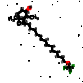 CC1=C(CCCCCCCCCCCCCCCOC(F)(F)F)C(C)(C)CCC1=O